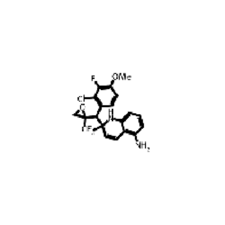 COc1ccc(C(C2(C)C=Cc3c(N)cccc3N2)C2(C(F)(F)F)CO2)c(Cl)c1F